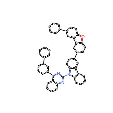 c1ccc(-c2cccc(-c3nc(-n4c5ccccc5c5cc(-c6ccc7oc8ccc(-c9ccccc9)cc8c7c6)ccc54)nc4ccccc34)c2)cc1